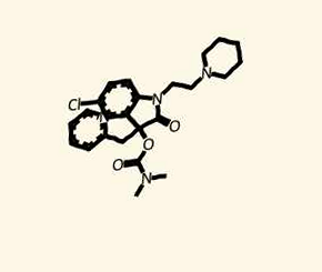 CN(C)C(=O)OC1(Cc2ccccn2)C(=O)N(CCN2CCCCC2)c2ccc(Cl)cc21